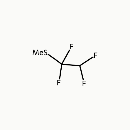 [CH2]SC(F)(F)C(F)F